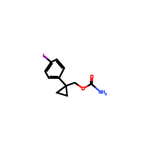 NC(=O)OCC1(c2ccc(I)cc2)CC1